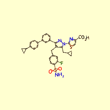 NS(=O)(=O)c1ccc(Cc2c(-c3cccc(-c4ccc(C5CC5)cc4)c3)nn(-c3nc(C(=O)O)cs3)c2CC2CC2)cc1F